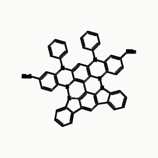 CSc1ccc2c(c1)N(c1ccccc1)c1cc3c4c5c1B2n1c2ccccc2c2cc6c7ccccc7n(c6c-5c21)B4c1ccc(SC)cc1N3c1ccccc1